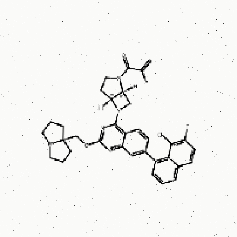 C=C(F)C(=O)N1CC[C@@H]2[C@H]1CN2c1nc(OCC23CCCN2CCC3)nc2cc(-c3cccc4ccc(F)c(Cl)c34)ccc12